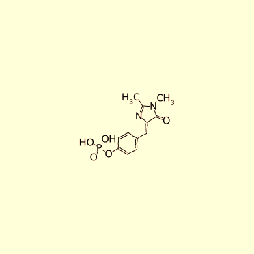 CC1=N/C(=C\c2ccc(OP(=O)(O)O)cc2)C(=O)N1C